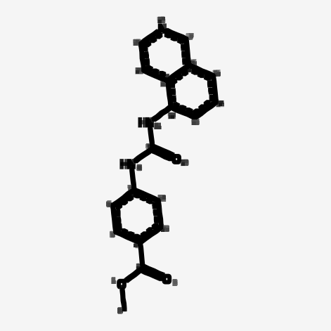 COC(=O)c1ccc(NC(=O)Nc2cccc3cnccc23)cc1